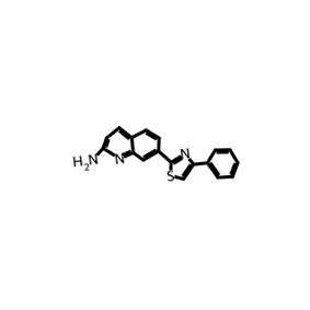 Nc1ccc2ccc(-c3nc(-c4ccccc4)cs3)cc2n1